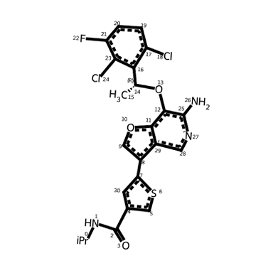 CC(C)NC(=O)c1csc(-c2coc3c(O[C@H](C)c4c(Cl)ccc(F)c4Cl)c(N)ncc23)c1